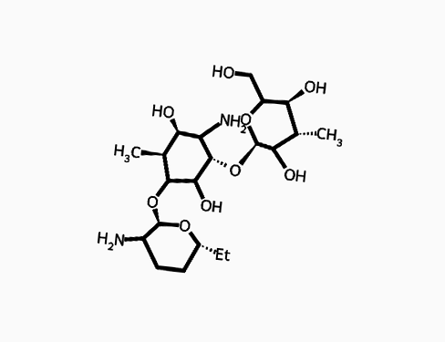 CC[C@@H]1CCC(N)[C@@H](OC2C(O)[C@@H](O[C@H]3OC(CO)[C@@H](O)[C@H](C)C3O)C(N)[C@H](O)[C@@H]2C)O1